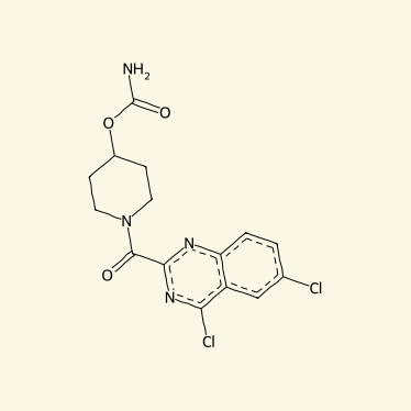 NC(=O)OC1CCN(C(=O)c2nc(Cl)c3cc(Cl)ccc3n2)CC1